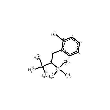 CC(C)(C)c1ccccc1CC([Si](C)(C)C)[Si](C)(C)C